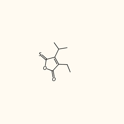 CCC1=C(C(C)C)C(=S)OC1=O